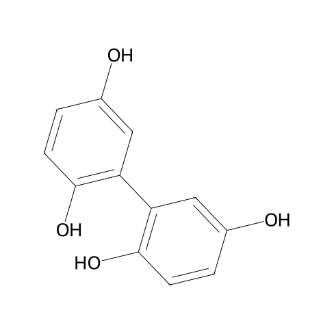 Oc1ccc(O)c(-c2cc(O)ccc2O)c1